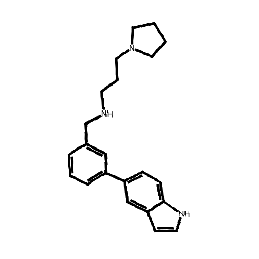 c1cc(CNCCCN2CCCC2)cc(-c2ccc3[nH]ccc3c2)c1